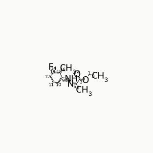 CCOC(=O)C(C)=NNc1cccc(F)c1C